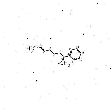 C=C(CCCC=CC)c1ccccc1